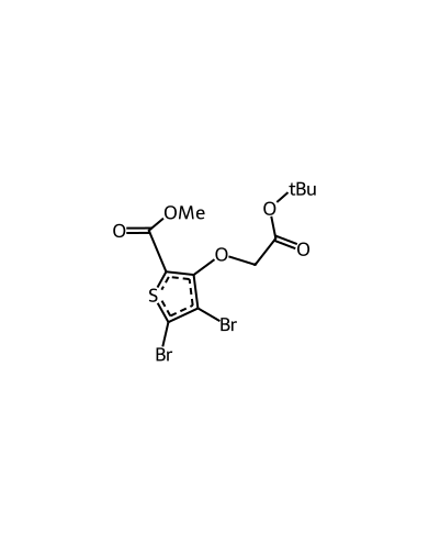 COC(=O)c1sc(Br)c(Br)c1OCC(=O)OC(C)(C)C